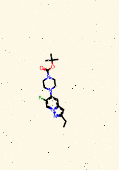 CCc1cc2cc(N3CCN(C(=O)OC(C)(C)C)CC3)c(F)cn2n1